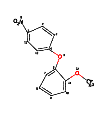 O=[N+]([O-])c1ccc(Oc2ccccc2OC(F)(F)F)cc1